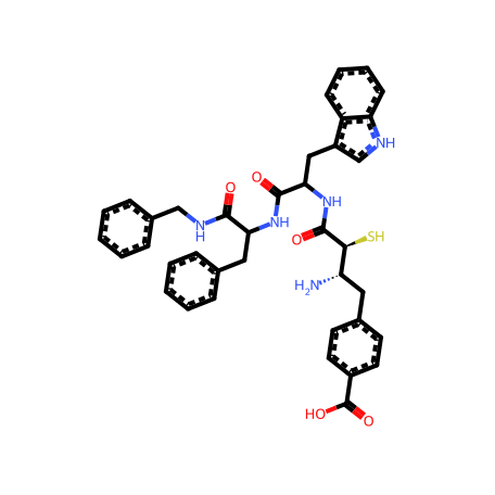 N[C@@H](Cc1ccc(C(=O)O)cc1)[C@H](S)C(=O)NC(Cc1c[nH]c2ccccc12)C(=O)NC(Cc1ccccc1)C(=O)NCc1ccccc1